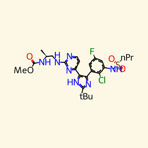 CCCS(=O)(=O)Nc1cc(F)cc(-c2nc(C(C)(C)C)[nH]c2-c2ccnc(NC[C@H](C)NC(=O)OC)n2)c1Cl